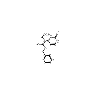 O=C(O)CN(C(=O)OCc1ccccc1)c1cc[nH]c(=O)n1